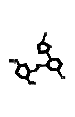 COc1ccc(C(=O)O)cc1SNc1cc(C#N)ccc1-c1ccc(Cl)s1